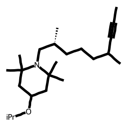 CC#CC(C)CCC[C@@H](C)CN1C(C)(C)CC(OC(C)C)CC1(C)C